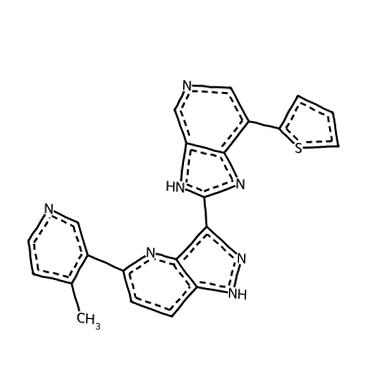 Cc1ccncc1-c1ccc2[nH]nc(-c3nc4c(-c5cccs5)cncc4[nH]3)c2n1